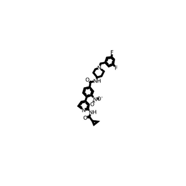 O=C(NC1CCN(Cc2cc(F)cc(F)c2)CC1)c1ccc(-c2ccnc(NC(=O)C3CC3)c2)c([N+](=O)[O-])c1